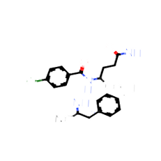 N#CC(N)Cc1ccccc1.NC(=O)CCC(NC(=O)c1ccc(Cl)cc1)C(=O)O